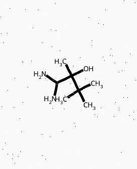 CC(C)(C)C(C)(O)C(N)N